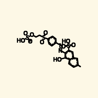 Cc1ccc2c(O)c(N=Nc3ccc(S(=O)(=O)CCOS(=O)(=O)O)cc3)c(S(=O)(=O)O)cc2c1